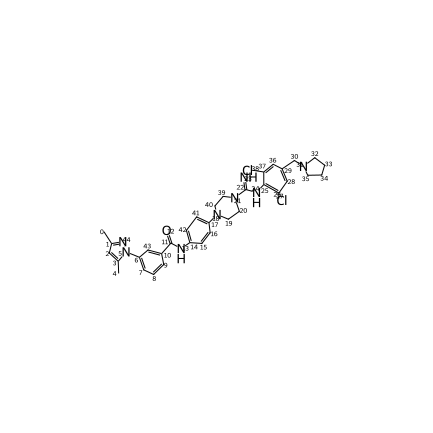 Cc1cc(C)n(-c2cccc(C(=O)Nc3ccc(N4CCN(C(=N)Nc5c(Cl)cc(CN6CCCC6)cc5Cl)CC4)cc3)c2)n1